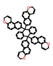 C1=Cc2c(ccc3cc(C4(c5ccc6c7c(ccc6c5)OCC=C7)c5ccccc5C(c5ccc6c7c(ccc6c5)OCC=C7)(c5ccc6c7c(ccc6c5)OCC=C7)c5ccccc54)ccc23)OC1